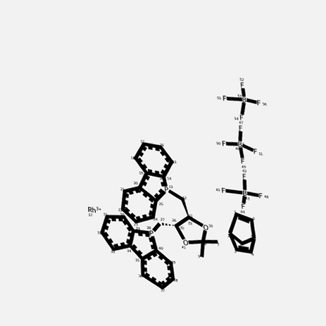 C1=CC2C=CC1C2.CC1(C)O[C@H](Cp2c3ccccc3c3ccccc32)[C@@H](Cp2c3ccccc3c3ccccc32)O1.F[B-](F)(F)F.F[B-](F)(F)F.F[B-](F)(F)F.[Rh+3]